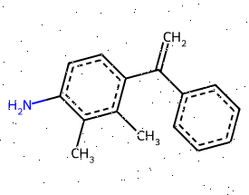 C=C(c1ccccc1)c1ccc(N)c(C)c1C